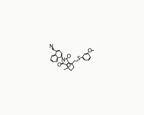 COc1cccc(SCCC23CCC(C)(O2)C2C(=O)N(c4ccc(C#N)c5ccccc45)C(=O)C23)c1